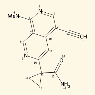 C#Cc1cnc(NC)c2cnc(C3(C(N)=O)CC3)cc12